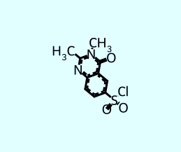 Cc1nc2ccc(S(=O)(=O)Cl)cc2c(=O)n1C